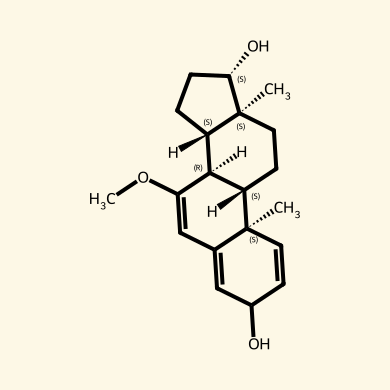 COC1=CC2=CC(O)C=C[C@]2(C)[C@H]2CC[C@]3(C)[C@@H](O)CC[C@H]3[C@H]12